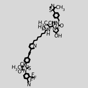 Cc1ncsc1-c1ccc(CNC(=O)[C@@H]2C[C@@H](O)CN2C(=O)[C@@H](NC(=O)CCCCCCc2ccc(C#Cc3ccc(N4C(=S)N(c5ccc(C#N)c(C(F)(F)F)c5)C(=O)C4(C)C)cc3)cn2)C(C)(C)C)cc1